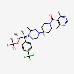 [2H][C@@H](OC([2H])([2H])[2H])[C@]([2H])(c1ccc(C(F)(F)F)cc1)N1CCN(C2(C)CCN(C(=O)c3c(C)ncnc3C)CC2)CC1C